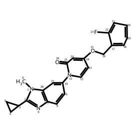 Cn1c(C2CC2)nc2ccc(-n3ccc(OCc4ccccc4F)cc3=O)cc21